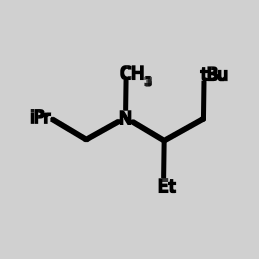 CCC(CC(C)(C)C)N(C)CC(C)C